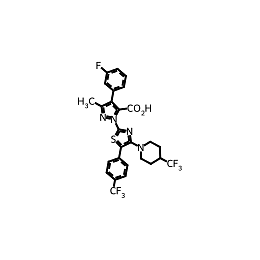 Cc1nn(-c2nc(N3CCC(C(F)(F)F)CC3)c(-c3ccc(C(F)(F)F)cc3)s2)c(C(=O)O)c1-c1cccc(F)c1